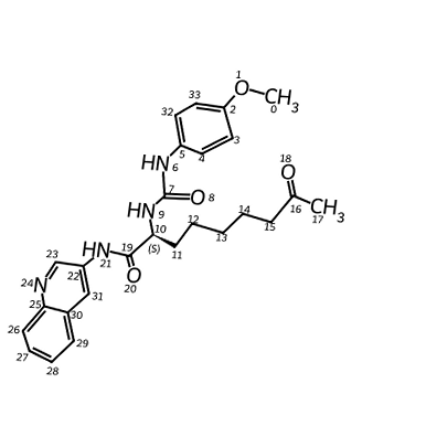 COc1ccc(NC(=O)N[C@@H](CCCCCC(C)=O)C(=O)Nc2cnc3ccccc3c2)cc1